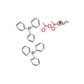 CC(=O)[O-].CC(=O)[O-].[Ru+2].c1ccc(P(c2ccccc2)c2ccccc2)cc1.c1ccc(P(c2ccccc2)c2ccccc2)cc1